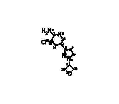 Nc1ncc(-c2ccn(C3COC3)n2)cc1Cl